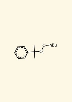 CCC[CH]OOC(C)(C)c1ccccc1